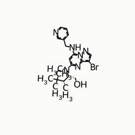 C[C@@H]([C@@H](CO)N(C)c1cc(NCc2cccnc2)n2ncc(Br)c2n1)C(C)(C)C